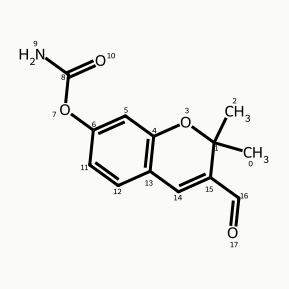 CC1(C)Oc2cc(OC(N)=O)ccc2C=C1C=O